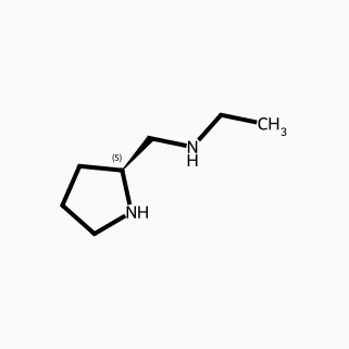 CCNC[C@@H]1CCCN1